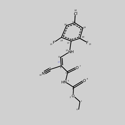 CCOC(=O)NC(=O)/C(C#N)=C\Nc1c(F)cc(Cl)cc1F